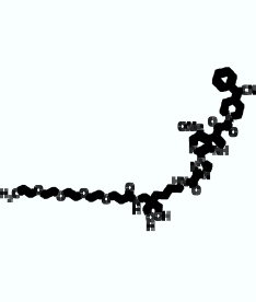 C=CCOCCOCCOCCOCCC(=O)NCC(CO)(CO)CCCCNC(=O)c1ncn(-c2ncc(OC)c3c(C(=O)C(=O)N4CCC(=C(C#N)c5ccccc5)CC4)c[nH]c23)n1